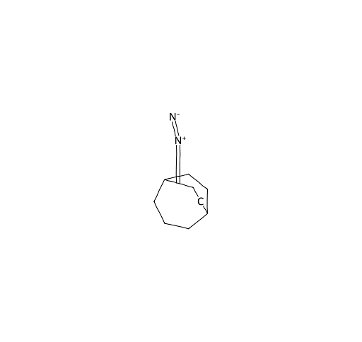 [N-]=[N+]=C1CCC2CCCC1CC2